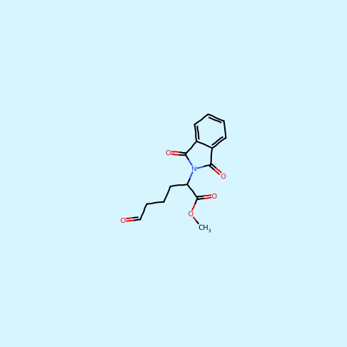 COC(=O)C(CCCC=O)N1C(=O)c2ccccc2C1=O